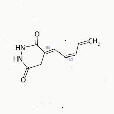 C=C/C=C\C=C1/CC(=O)NNC1=O